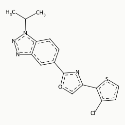 CC(C)n1nnc2cc(-c3nc(-c4sccc4Cl)co3)ccc21